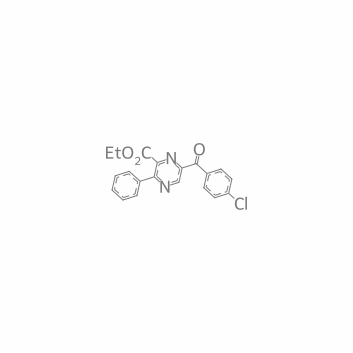 CCOC(=O)c1nc(C(=O)c2ccc(Cl)cc2)cnc1-c1ccccc1